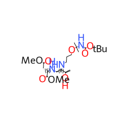 C=C(O)[C@@H](CN[C@@H](CC(=O)OC)C(=O)OC)NCCCOC(C)(C)NC(=O)OC(C)(C)C